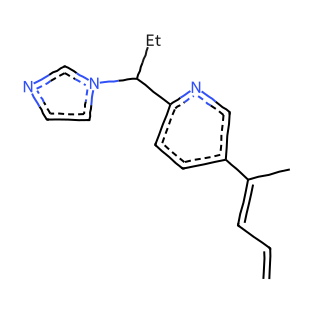 C=C/C=C(\C)c1ccc(C(CC)n2ccnc2)nc1